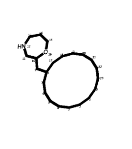 C1CCCCCCCC(CC2CNCCCO2)CCCCCCC1